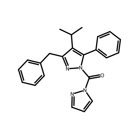 CC(C)c1c(Cc2ccccc2)nn(C(=O)n2cccn2)c1-c1ccccc1